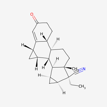 CC[C@]1(C#N)[C@H]2C[C@H]2[C@H]2[C@@H]3[C@@H]4C[C@@H]4C4=CC(=O)CC[C@@H]4[C@H]3CC[C@@]21C